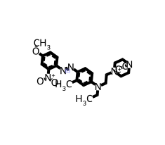 CCN(CC[N+]12CCN(CC1)CC2)c1ccc(/N=N/c2ccc(OC)cc2[N+](=O)[O-])c(C)c1